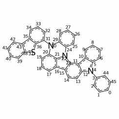 c1ccc(-n2c3ccccc3c3c2ccc2c4cccc5c4n(c23)-c2ccccc2N5c2cccc3c2sc2ccccc23)cc1